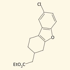 CCOC(=O)CC1CCc2c(oc3ccc(Cl)cc23)C1